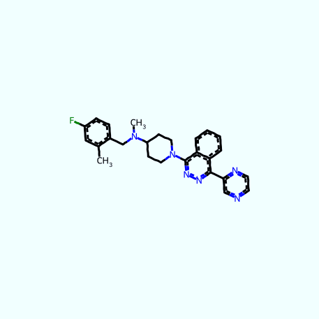 Cc1cc(F)ccc1CN(C)C1CCN(c2nnc(-c3cnccn3)c3ccccc23)CC1